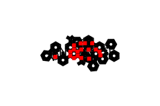 CC(C)c1cc(N(c2c(F)cccc2-c2ccc([Si](c3ccccc3)(c3ccccc3)c3ccccc3)cc2)c2cccc3c2oc2ccccc23)c2ccc3c(C(C)C)cc(N(c4c(F)cccc4-c4ccc([Si](c5ccccc5)(c5ccccc5)c5ccccc5)cc4)c4cccc5c4oc4ccccc45)c4ccc1c2c34